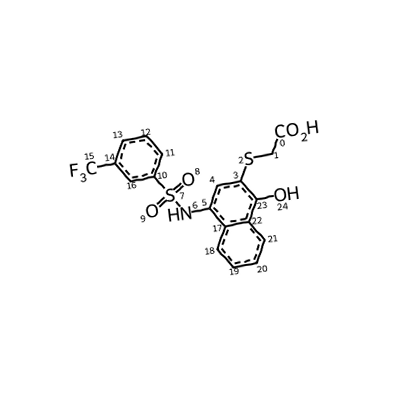 O=C(O)CSc1cc(NS(=O)(=O)c2cccc(C(F)(F)F)c2)c2ccccc2c1O